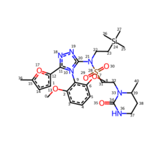 COc1cccc(OC)c1-n1c(-c2ccc(C)o2)nnc1N(CC[Si](C)(C)C)S(=O)(=O)CCN1C(=O)NCCC1C